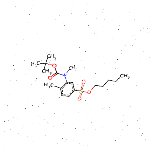 CCCCCOS(=O)(=O)c1ccc(C)c(N(C)C(=O)OC(C)(C)C)c1